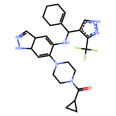 O=C(C1CC1)N1CCN(C2=CC3NN=CC3C=C2NC(C2=CCCCC2)c2c[nH]nc2C(F)(F)F)CC1